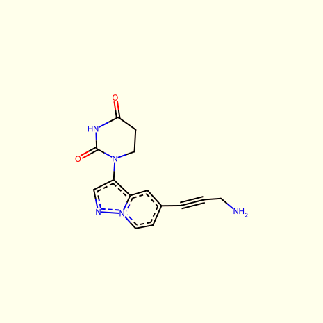 NCC#Cc1ccn2ncc(N3CCC(=O)NC3=O)c2c1